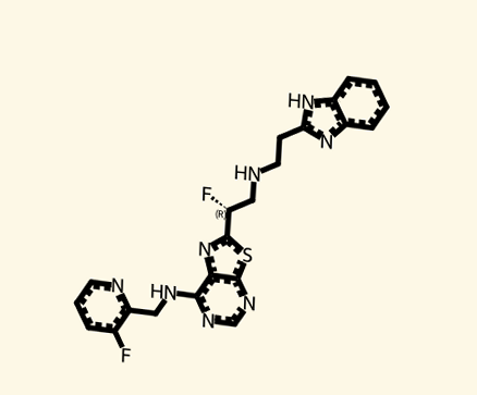 Fc1cccnc1CNc1ncnc2sc([C@H](F)CNCCc3nc4ccccc4[nH]3)nc12